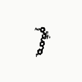 CC(=O)c1cccc(N(C[C@@H](O)CN2CCC(Cc3ccc(F)cc3)CC2)C(N)=O)c1